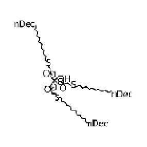 CCCCCCCCCCCCCCCCCCCCCCSCCC(=O)OCC(CO)(COC(=O)CCSCCCCCCCCCCCCCCCCCCCCCC)COC(=O)CCSCCCCCCCCCCCCCCCCCCCCCC